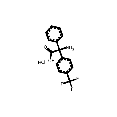 Cl.NC(C(=O)O)(c1ccccc1)c1ccc(C(F)(F)F)cc1